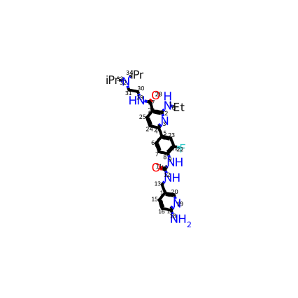 CCNc1nc(-c2ccc(NC(=O)NCc3ccc(N)nc3)c(F)c2)ccc1C(=O)NCCN(C(C)C)C(C)C